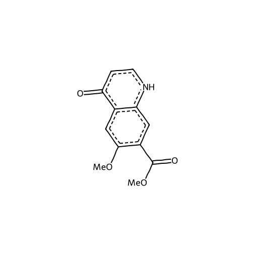 COC(=O)c1cc2[nH]ccc(=O)c2cc1OC